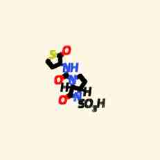 O=C1SCC[C@H]1NC(=O)N1CC[C@@H]2[C@H]1C(=O)N2S(=O)(=O)O